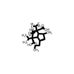 CCCC1CC(C)C(C(C(=O)O)(C(=O)O)C(C)C)C1C(C(=O)O)(C(=O)O)C(C)C